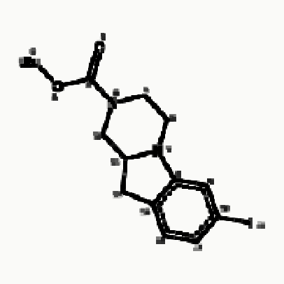 CC(C)(C)OC(=O)N1CCN2c3cc(I)ccc3CC2C1